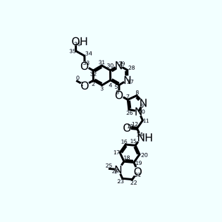 COc1cc2c(Oc3cnn(CC(=O)Nc4ccc5c(c4)OCCN5C)c3)ncnc2cc1OCCO